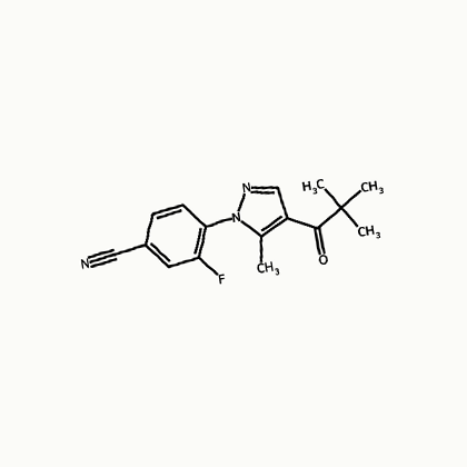 Cc1c(C(=O)C(C)(C)C)cnn1-c1ccc(C#N)cc1F